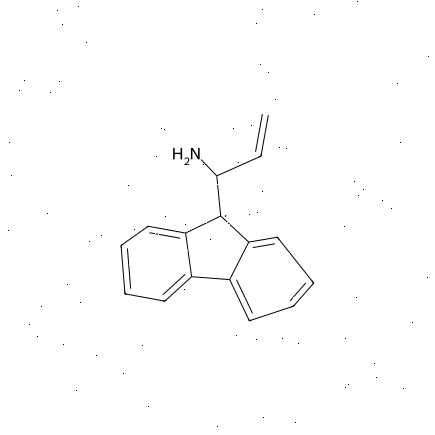 C=CC(N)[C]1c2ccccc2-c2ccccc21